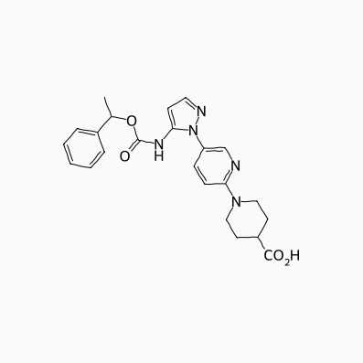 CC(OC(=O)Nc1ccnn1-c1ccc(N2CCC(C(=O)O)CC2)nc1)c1ccccc1